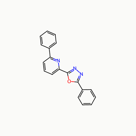 c1ccc(-c2cccc(-c3nnc(-c4ccccc4)o3)n2)cc1